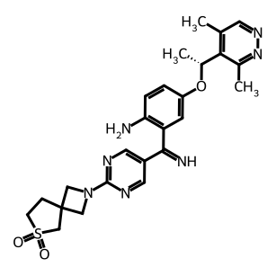 Cc1cnnc(C)c1[C@@H](C)Oc1ccc(N)c(C(=N)c2cnc(N3CC4(CCS(=O)(=O)C4)C3)nc2)c1